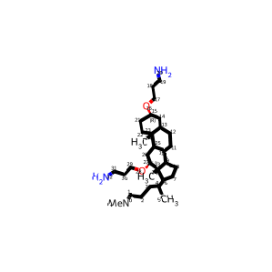 CNCCCC(C)C1CCC2C3CCC4C[C@H](OCCCN)CCC4(C)C3C[C@H](OCCCN)C12C